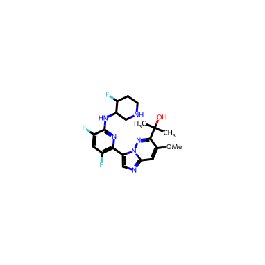 COc1cc2ncc(-c3nc(NC4CNCCC4F)c(F)cc3F)n2nc1C(C)(C)O